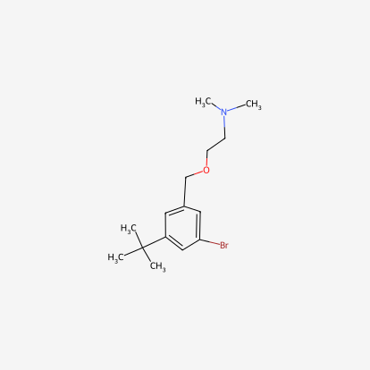 CN(C)CCOCc1cc(Br)cc(C(C)(C)C)c1